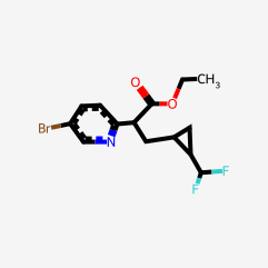 CCOC(=O)C(CC1CC1C(F)F)c1ccc(Br)cn1